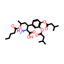 CCCCC(=O)OC(C)CC(c1ccc(OC(=O)CC(C)C)c(OC(=O)CC(C)C)c1)[C@H](N)C(=O)O